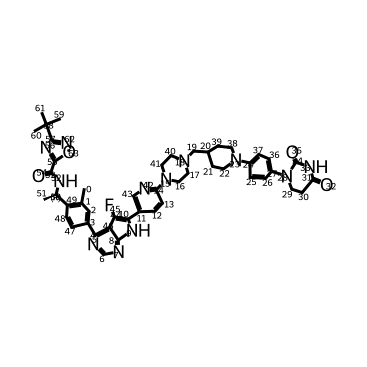 Cc1cc(-c2ncnc3[nH]c(-c4ccc(N5CCN(CC6CCN(c7ccc(N8CCC(=O)NC8=O)cc7)CC6)CC5)nc4)c(F)c23)ccc1[C@@H](C)NC(=O)c1nc(C(C)(C)C)no1